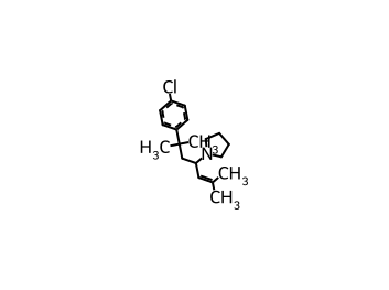 CC(C)=CC(CC(C)(C)c1ccc(Cl)cc1)N1CCCC1